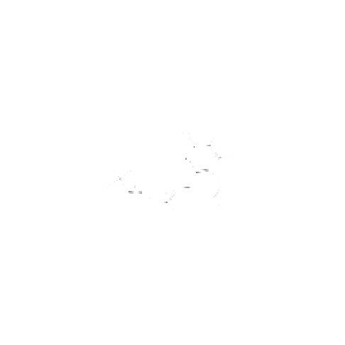 CCCc1c(C/C=C(\C)C/C=C/C(C)(C)O)[nH]c(=O)c(C)c1O